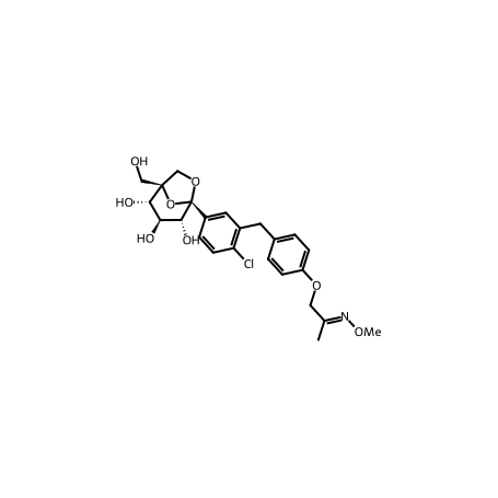 CON=C(C)COc1ccc(Cc2cc([C@]34OC[C@](CO)(O3)[C@@H](O)[C@H](O)[C@H]4O)ccc2Cl)cc1